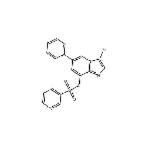 O=S(=O)(Nc1cc(-c2ccccc2)cn2c(Br)cnc12)c1cccnc1